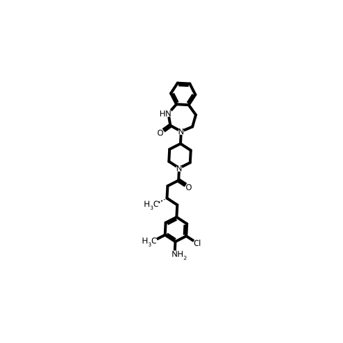 Cc1cc(C[C@H](C)CC(=O)N2CCC(N3CCc4ccccc4NC3=O)CC2)cc(Cl)c1N